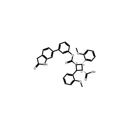 COc1ccccc1C1[C@@H](C(=O)O)[C@@H](c2ccccc2OC)[C@@H]1C(=O)Oc1cccc(-c2ccc3c(c2)NC(=O)C3)c1